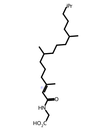 C/C(=C\C(=O)NCC(=O)O)CCCC(C)CCCC(C)CCCC(C)C